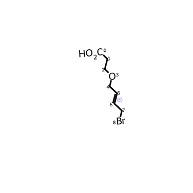 O=C(O)CCOC/C=C/CBr